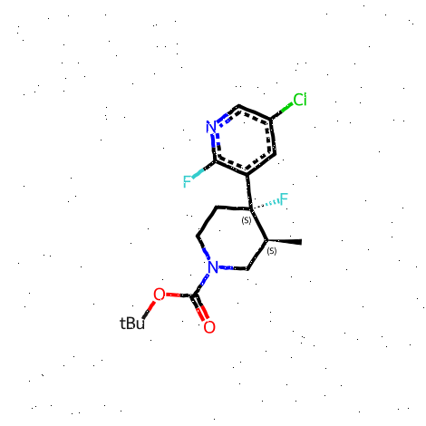 C[C@H]1CN(C(=O)OC(C)(C)C)CC[C@@]1(F)c1cc(Cl)cnc1F